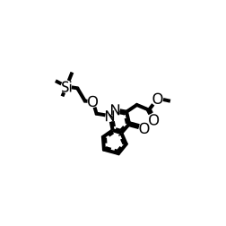 COC(=O)Cc1nn(COCC[Si](C)(C)C)c2ccccc2c1=O